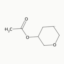 [CH2]C(=O)OC1C[CH]COC1